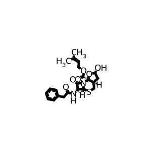 CC(C)=CCOC(=O)[C@]12OC(O)C[C@H]1CS[C@@H]1[C@H](NC(=O)Cc3ccccc3)C(=O)N12